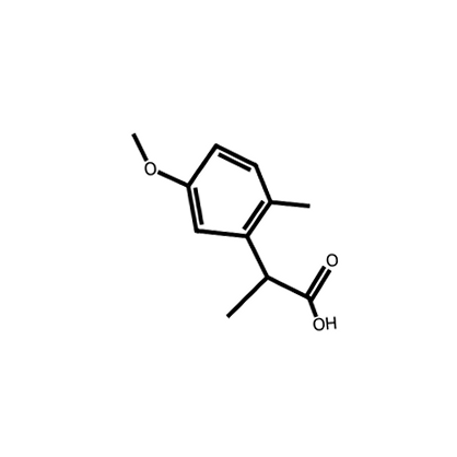 COc1ccc(C)c(C(C)C(=O)O)c1